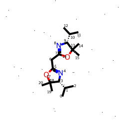 CC(C)[C@H]1N=C(CC2=N[C@H](C(C)C)C(C)(C)O2)OC1(C)C